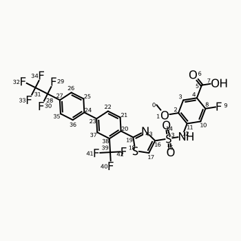 COc1cc(C(=O)O)c(F)cc1NS(=O)(=O)c1csc(-c2ccc(-c3ccc(C(F)(F)C(F)(F)F)cc3)cc2C(F)(F)F)n1